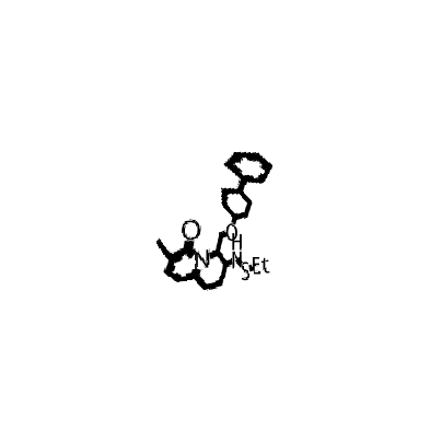 CCSNC1CCc2ccc(C)c(=O)n2C1COC1CCC(c2ccccc2)CC1